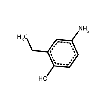 CCc1cc(N)ccc1O